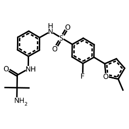 Cc1ccc(-c2ccc(S(=O)(=O)Nc3cccc(NC(=O)C(C)(C)N)c3)cc2F)o1